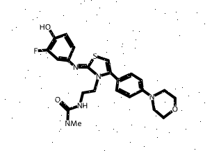 CNC(=O)NCCn1c(-c2ccc(N3CCOCC3)cc2)csc1=Nc1ccc(O)c(F)c1